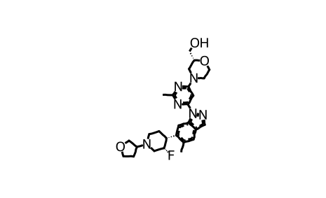 Cc1nc(N2CCO[C@@H](CO)C2)cc(-n2ncc3cc(C)c([C@H]4CCN(C5CCOC5)C[C@H]4F)cc32)n1